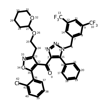 O=C(c1nnn(Cc2cc(C(F)(F)F)cc(C(F)(F)F)c2)c1-c1ccccc1)c1c(CCOC2CCCCO2)noc1-c1ccccc1Cl